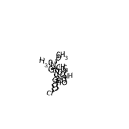 CCC(=O)NCCO.COCCN(C)C(=O)[C@H](C)N1CC[C@H](NS(=O)(=O)c2ccc3cc(Cl)ccc3c2)C1=O